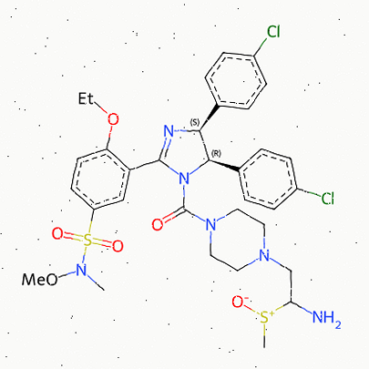 CCOc1ccc(S(=O)(=O)N(C)OC)cc1C1=N[C@@H](c2ccc(Cl)cc2)[C@@H](c2ccc(Cl)cc2)N1C(=O)N1CCN(CC(N)[S+](C)[O-])CC1